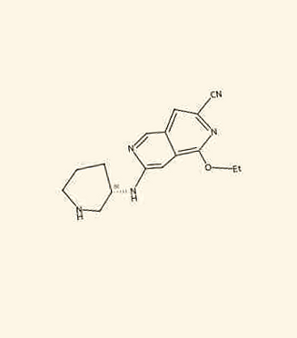 CCOc1nc(C#N)cc2cnc(N[C@H]3CCCNC3)cc12